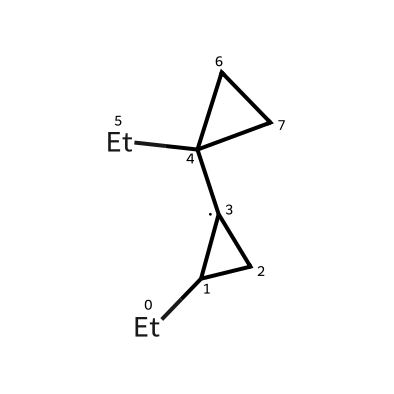 CCC1C[C]1C1(CC)CC1